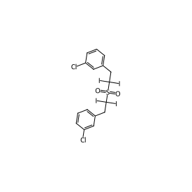 O=S(=O)(C(I)(I)Cc1cccc(Cl)c1)C(I)(I)Cc1cccc(Cl)c1